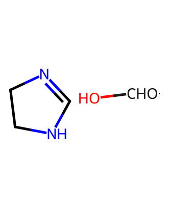 C1=NCCN1.O=[C]O